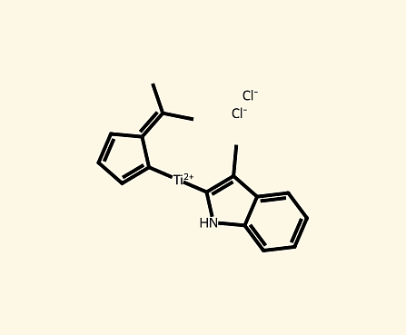 CC(C)=C1C=CC=[C]1[Ti+2][c]1[nH]c2ccccc2c1C.[Cl-].[Cl-]